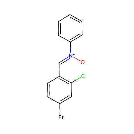 CCc1ccc(C=[N+]([O-])c2ccccc2)c(Cl)c1